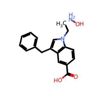 CCn1cc(Cc2ccccc2)c2cc(C(=O)O)ccc21.NO